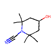 CC1(C)CC(O)CC(C)(C)N1C#N